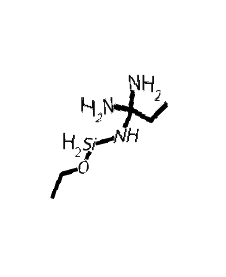 CCO[SiH2]NC(N)(N)CC